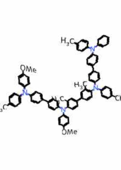 COc1ccc(N(c2ccc(C)cc2)c2ccc(-c3ccc(N(c4ccc(OC)cc4)c4ccc(-c5ccc(N(c6ccc(C)cc6)c6ccc(-c7ccc(N(c8ccccc8)c8ccc(C)cc8)cc7)cc6)c(C)c5)cc4C)cc3)cc2)cc1